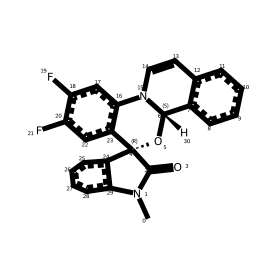 CN1C(=O)[C@@]2(O[C@H]3c4ccccc4C=CN3c3cc(F)c(F)cc32)c2ccccc21